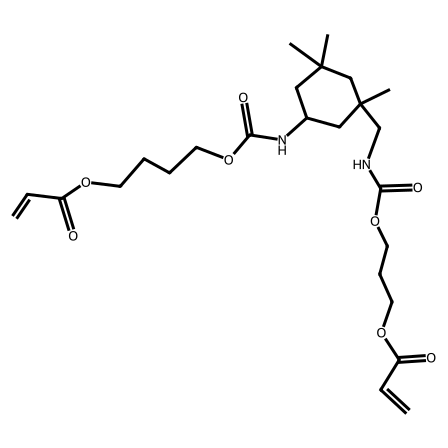 C=CC(=O)OCCCCOC(=O)NC1CC(C)(C)CC(C)(CNC(=O)OCCCOC(=O)C=C)C1